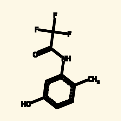 Cc1ccc(O)cc1NC(=O)C(F)(F)F